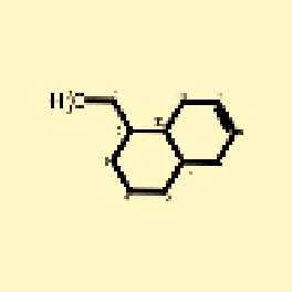 [CH2]CC1CCCC2CC=CCC12